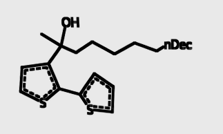 CCCCCCCCCCCCCCCC(C)(O)c1ccsc1-c1cccs1